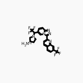 N[C@H]1CCN(C(c2ccc3nnc(-c4ccc5ccc(C(F)(F)F)cc5n4)n3c2)C(F)(F)F)C1